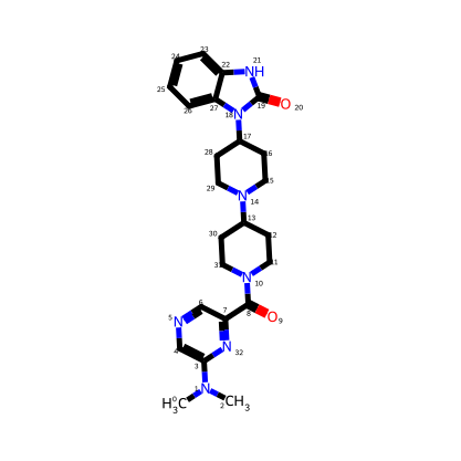 CN(C)c1cncc(C(=O)N2CCC(N3CCC(n4c(=O)[nH]c5ccccc54)CC3)CC2)n1